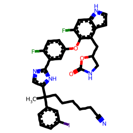 CC(CCCCCC#N)(c1cccc(I)c1)c1cnc(-c2cc(Oc3c(F)cc4[nH]ccc4c3CC3CNC(=O)O3)ccc2F)[nH]1